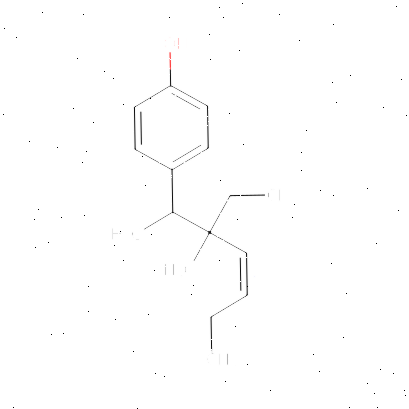 CC/C=C\C(C)(CC)C(C)c1ccc(O)cc1